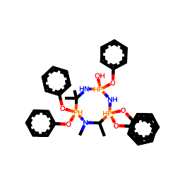 CC1N(C)[PH](Oc2ccccc2)(Oc2ccccc2)C(C)(C)N[PH](O)(Oc2ccccc2)N[PH]1(Oc1ccccc1)Oc1ccccc1